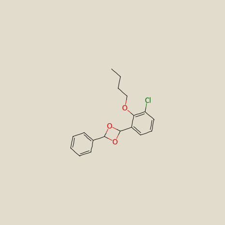 CCCCOc1c(Cl)cccc1C1OC(c2ccccc2)O1